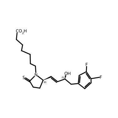 O=C(O)CCCCCCN1C(=S)CC[C@@H]1C=C[C@@H](O)Cc1ccc(F)c(F)c1